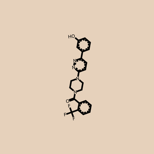 O=C(c1ccccc1C(F)(F)F)N1CCN(c2ccc(-c3cccc(O)c3)nn2)CC1